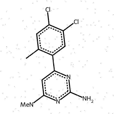 CNc1cc(-c2cc(Cl)c(Cl)cc2C)nc(N)n1